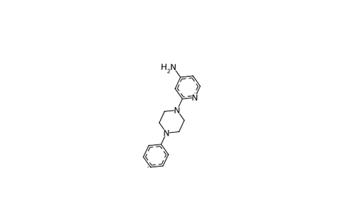 Nc1ccnc(N2CCN(c3cc[c]cc3)CC2)c1